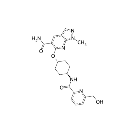 Cn1ncc2cc(C(N)=O)c(O[C@H]3CC[C@H](NC(=O)c4cccc(CO)n4)CC3)nc21